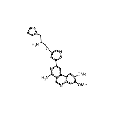 COc1cc2ncc3c(N)nc(-c4cncc(OC[C@H](N)Cn5cccn5)c4)cc3c2cc1OC